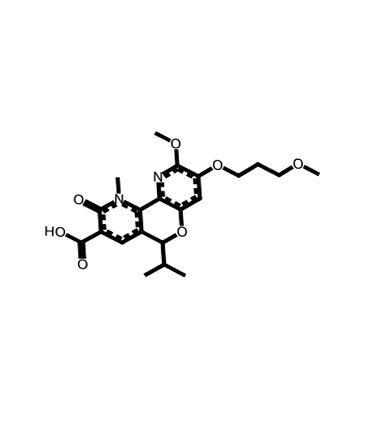 COCCCOc1cc2c(nc1OC)-c1c(cc(C(=O)O)c(=O)n1C)C(C(C)C)O2